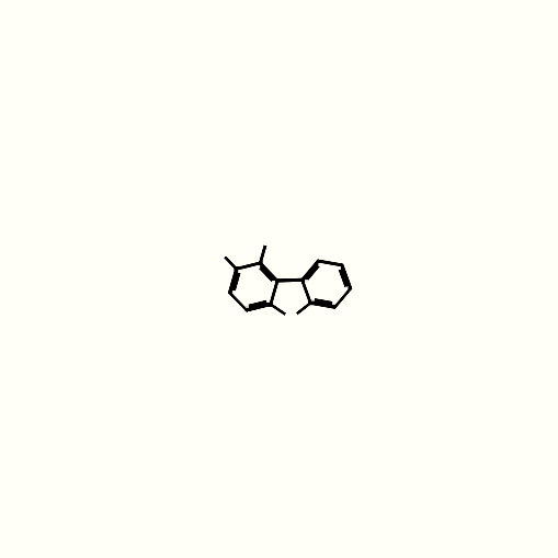 Cc1c(O)ccc2oc3ccccc3c12